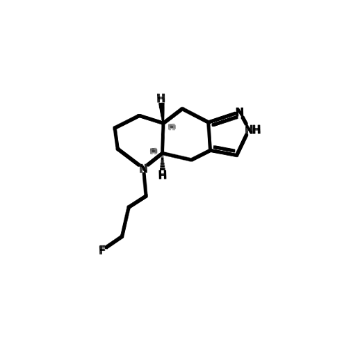 FCCCN1CCC[C@@H]2Cc3n[nH]cc3C[C@H]21